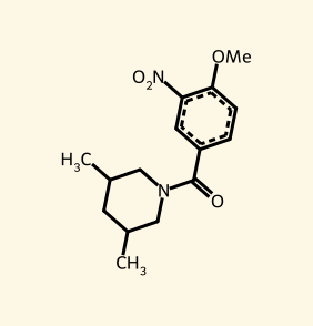 COc1ccc(C(=O)N2CC(C)CC(C)C2)cc1[N+](=O)[O-]